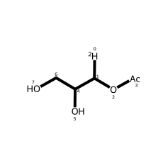 [2H]C(OC(C)=O)C(O)CO